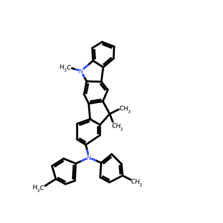 Cc1ccc(N(c2ccc(C)cc2)c2ccc3c(c2)C(C)(C)c2cc4c5ccccc5n(C)c4cc2-3)cc1